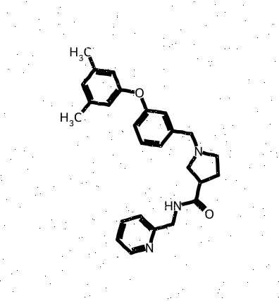 Cc1cc(C)cc(Oc2cccc(CN3CCC(C(=O)NCc4ccccn4)C3)c2)c1